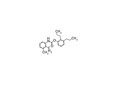 CCCc1cccc(OC(=O)Nc2cccc(C)c2C)c1CCC